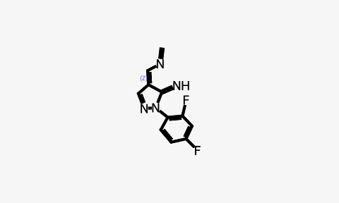 C=N/C=C1/C=NN(c2ccc(F)cc2F)C1=N